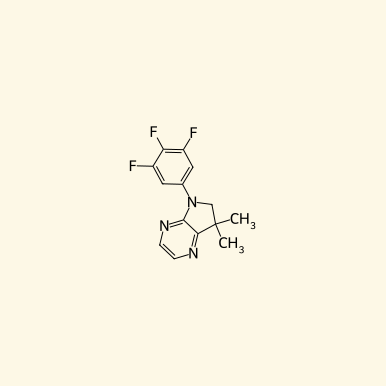 CC1(C)CN(c2cc(F)c(F)c(F)c2)c2nccnc21